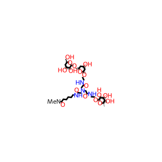 CNC(=O)CCCCCNC(=O)CN(CC(=O)NCCO[C@H]1C[C@@H](O)C[C@@H](CO[C@H]2O[C@H](CO)C[C@H](O)[C@@H]2O)O1)CC(=O)NCCO[C@@H]1O[C@@H](C)[C@@H](O)[C@@H](O)[C@@H]1O